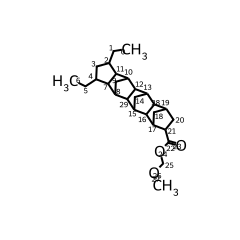 CCC1CC(CC)C2C3CC(C12)C1C2CC(C4C5CC(CC5C(=O)OCOC)C24)C31